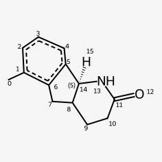 Cc1cccc2c1CC1CCC(=O)N[C@H]21